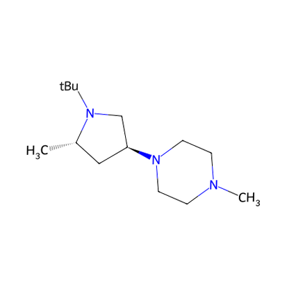 C[C@H]1C[C@H](N2CCN(C)CC2)CN1C(C)(C)C